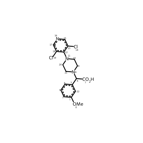 COc1cccc(C(C(=O)O)N2CCN(c3c(Cl)cncc3Cl)CC2)c1